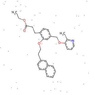 CCOC(=O)CCc1ccc(COc2cccnc2C)cc1OCCc1ccc2ccccc2c1